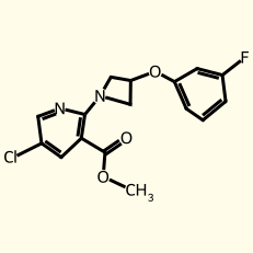 COC(=O)c1cc(Cl)cnc1N1CC(Oc2cccc(F)c2)C1